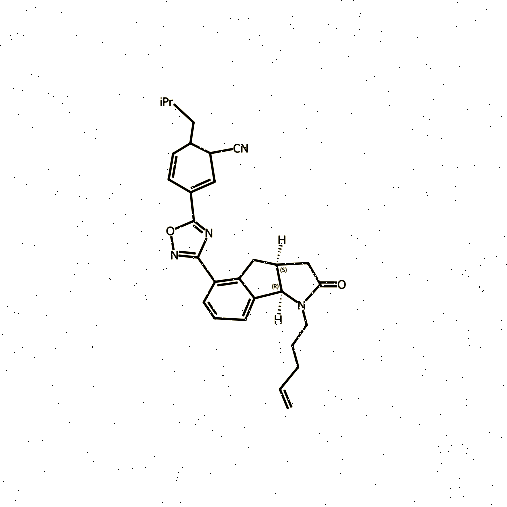 C=CCCCN1C(=O)C[C@@H]2Cc3c(-c4noc(C5=CC(C#N)C(CC(C)C)C=C5)n4)cccc3[C@@H]21